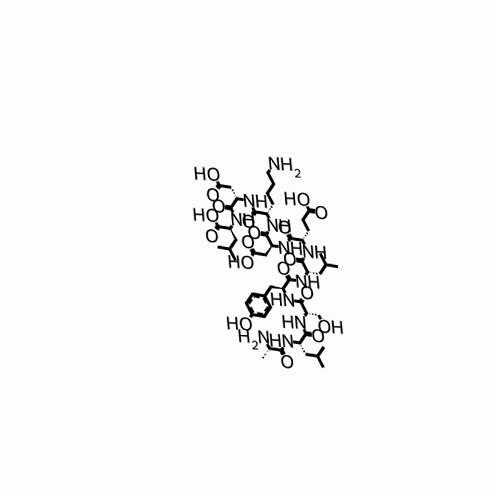 CC(C)C[C@H](NC(=O)[C@H](CC(=O)O)NC(=O)[C@H](CCCCN)NC(=O)[C@H](CC(=O)O)NC(=O)[C@H](CCC(=O)O)NC(=O)[C@H](CC(C)C)NC(=O)[C@H](Cc1ccc(O)cc1)NC(=O)[C@H](CO)NC(=O)[C@H](CC(C)C)NC(=O)[C@H](C)N)C(=O)O